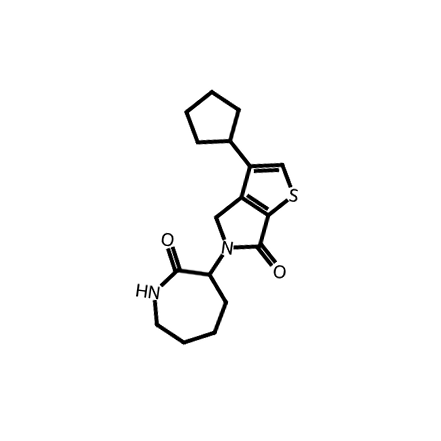 O=C1NCCCCC1N1Cc2c(C3CCCC3)csc2C1=O